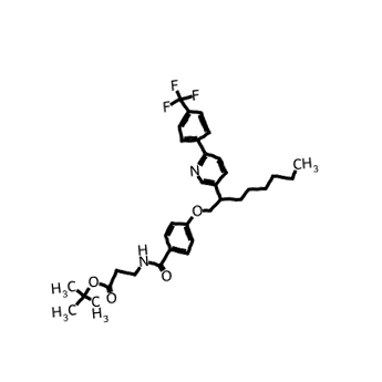 CCCCCCC(COc1ccc(C(=O)NCCC(=O)OC(C)(C)C)cc1)c1ccc(-c2ccc(C(F)(F)F)cc2)nc1